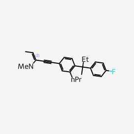 C/C=C(/C#Cc1ccc(C(C)(CC)c2ccc(F)cc2)c(CCC)c1)NC